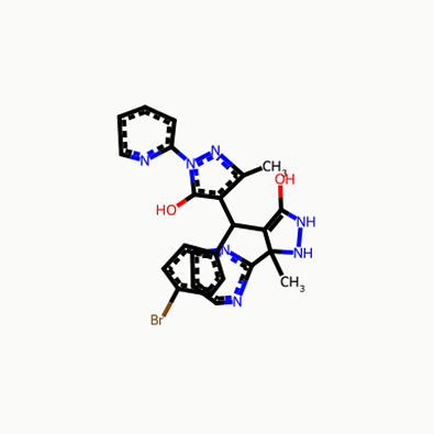 Cc1nn(-c2ccccn2)c(O)c1C(C1=C(O)NNC1(C)c1ncccn1)c1ccc(Br)cc1